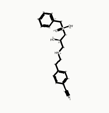 N#Cc1ccc(CCNC[C@@H](O)CP(=O)(O)Cc2ccccc2)cc1